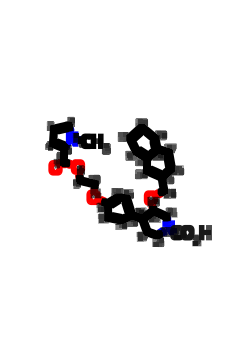 Cn1cccc1C(=O)OCCOc1ccc(C2CCN(C(=O)O)CC2OCc2ccc3ccccc3c2)cc1